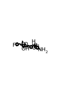 CCC[C@]1(CCc2ccc(F)cc2)CC(O)=C(CC(C)(C)Cc2cccc(NS(=O)(=O)c3ccc(N)cn3)c2)C(=O)O1